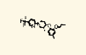 CCCOc1cc(C)ccc1O[C@@H]1CCN(c2ccc(C(F)(F)F)cn2)C[C@@H]1C